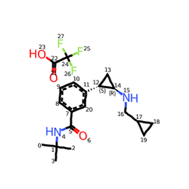 CC(C)(C)NC(=O)c1cccc([C@@H]2C[C@H]2NCC2CC2)c1.O=C(O)C(F)(F)F